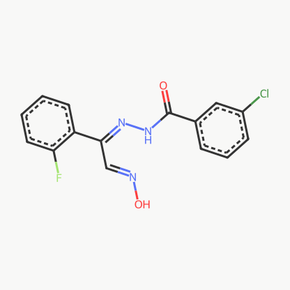 O=C(NN=C(C=NO)c1ccccc1F)c1cccc(Cl)c1